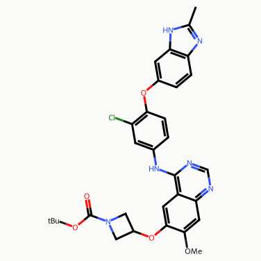 COc1cc2ncnc(Nc3ccc(Oc4ccc5nc(C)[nH]c5c4)c(Cl)c3)c2cc1OC1CN(C(=O)OC(C)(C)C)C1